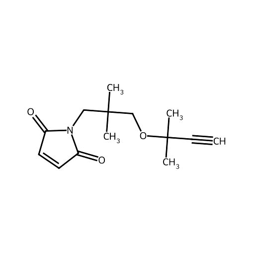 C#CC(C)(C)OCC(C)(C)CN1C(=O)C=CC1=O